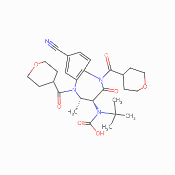 C[C@H]1[C@H](N(C(=O)O)C(C)(C)C)C(=O)N(C(=O)C2CCOCC2)c2ccc(C#N)cc2N1C(=O)C1CCOCC1